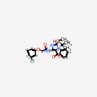 COC1=NC(NC(=O)COc2cccc(Cl)c2)=C(C(=O)[O-])[N+]1(c1ccccc1)C(C)(C)C